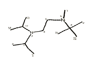 CC(C)N(CCN(C)C(C)(C)C)C(C)C